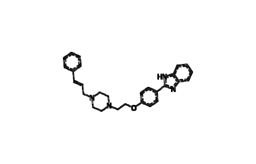 C(=Cc1ccccc1)CN1CCN(CCOc2ccc(-c3nc4ccccc4[nH]3)cc2)CC1